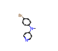 CN(c1ccncc1)c1ccc(Br)cc1